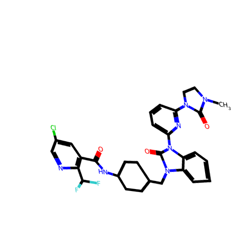 CN1CCN(c2cccc(-n3c(=O)n(CC4CCC(NC(=O)c5cc(Cl)cnc5C(F)F)CC4)c4ccccc43)n2)C1=O